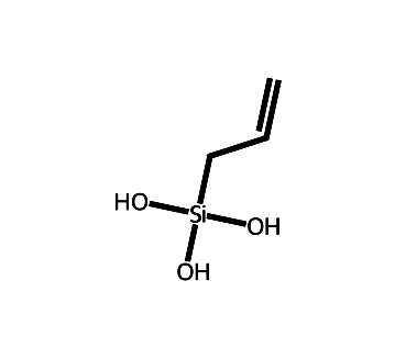 C=CC[Si](O)(O)O